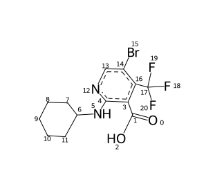 O=C(O)c1c(NC2CCCCC2)ncc(Br)c1C(F)(F)F